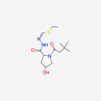 CCS/C=N\NC(=O)C1CC(O)CN1C(=O)CC(C)(C)C